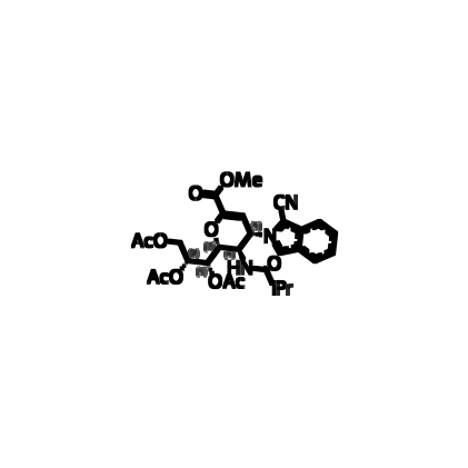 COC(=O)C1=C[C@H](n2cc3ccccc3c2C#N)[C@@H](NC(=O)C(C)C)[C@H]([C@H](OC(C)=O)[C@@H](COC(C)=O)OC(C)=O)O1